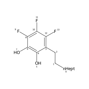 CCCCCCCCCc1c(O)c(O)c(F)c(F)c1F